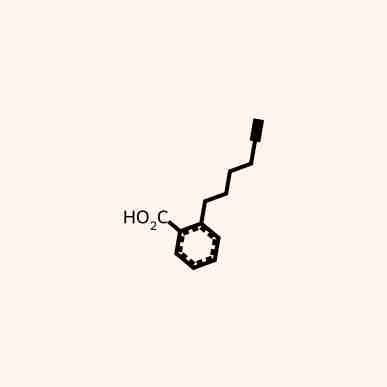 C#CCCCCc1ccccc1C(=O)O